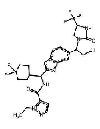 CCn1nccc1C(=O)NC(c1nc2cc(C(CCl)N3CC(C(F)(F)F)NC3=O)ccc2o1)C1CCC(F)(F)CC1